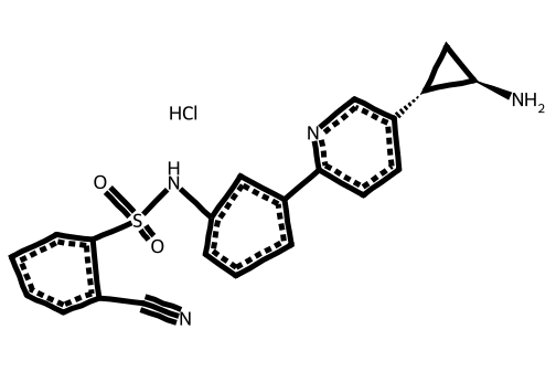 Cl.N#Cc1ccccc1S(=O)(=O)Nc1cccc(-c2ccc([C@@H]3C[C@H]3N)cn2)c1